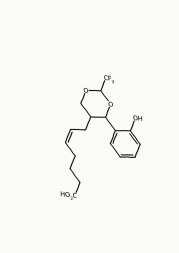 O=C(O)CCC/C=C\CC1COC(C(F)(F)F)OC1c1ccccc1O